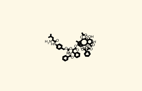 CC(=O)O[C@H]1C(=O)[C@@]2(C)C([C@H](OC(=O)c3ccccc3)[C@]3(O)C[C@H](OC(=O)[C@H](OC(=O)OCc4ccc(NC(=O)[C@H](N)CC(C)C)cc4)[C@@H](NC(=O)c4ccccc4)c4ccccc4)C(C)=C1C3(C)C)[C@]1(OC(C)=O)CO[C@@H]1C[C@@H]2O